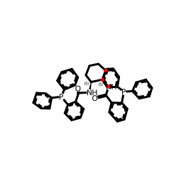 O=C(N[C@H]1CCCC[C@@H]1NC(=O)c1ccccc1P(c1ccccc1)c1ccccc1)c1ccccc1P(c1ccccc1)c1ccccc1